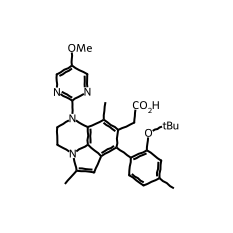 COc1cnc(N2CCn3c(C)cc4c(-c5ccc(C)cc5OC(C)(C)C)c(CC(=O)O)c(C)c2c43)nc1